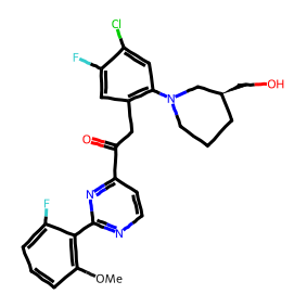 COc1cccc(F)c1-c1nccc(C(=O)Cc2cc(F)c(Cl)cc2N2CCC[C@H](CO)C2)n1